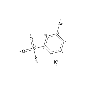 CC(=O)c1cccc(S(=O)(=O)[S-])c1.[K+]